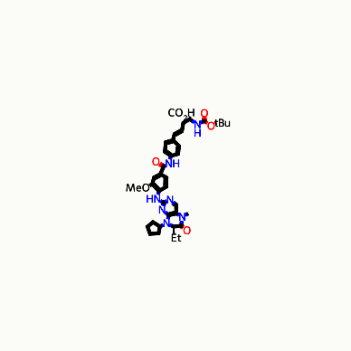 CC[C@@H]1C(=O)N(C)c2cnc(Nc3ccc(C(=O)Nc4ccc(/C=C/C[C@H](NC(=O)OC(C)(C)C)C(=O)O)cc4)cc3OC)nc2N1C1CCCC1